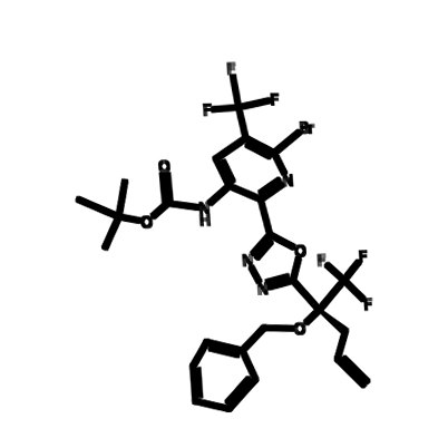 C=CC[C@@](OCc1ccccc1)(c1nnc(-c2nc(Br)c(C(F)(F)F)cc2NC(=O)OC(C)(C)C)o1)C(F)(F)F